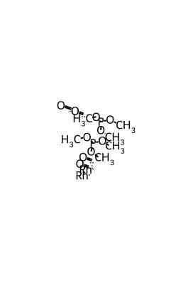 COP(OC)OC.COP(OC)OC.[C]=O.[C]=O.[C]=O.[C]=O.[Rh].[Rh]